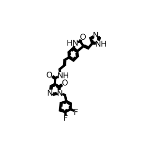 O=C1Nc2cc(/C=C/CNC(=O)c3cncn(Cc4ccc(F)c(F)c4)c3=O)ccc2C1=Cc1cnc[nH]1